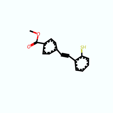 COC(=O)c1ccc(C#Cc2ccccc2S)cc1